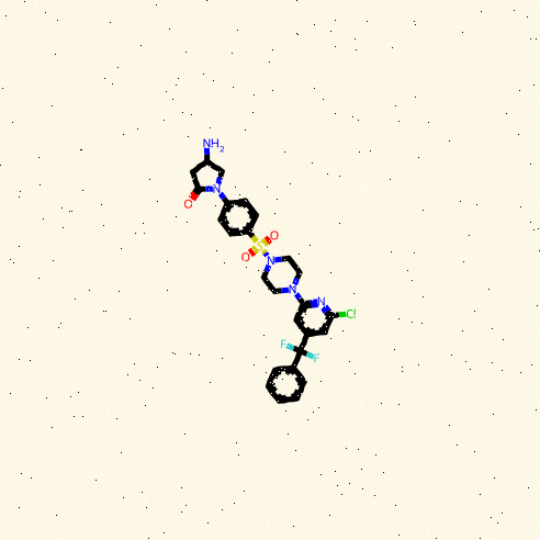 NC1CC(=O)N(c2ccc(S(=O)(=O)N3CCN(c4cc(C(F)(F)c5ccccc5)cc(Cl)n4)CC3)cc2)C1